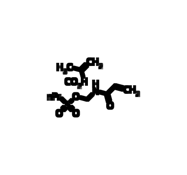 C=C(C)C(=O)O.C=CC(=O)NCOS(=O)(=O)CCC